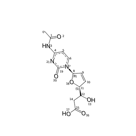 CC(=O)Nc1ccn([C@H]2C=C[C@@H](C(O)CC(=O)O)O2)c(=O)n1